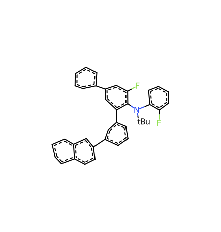 CC(C)(C)N(c1ccccc1F)c1c(F)cc(-c2ccccc2)cc1-c1cccc(-c2ccc3ccccc3c2)c1